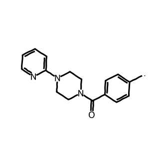 [CH2]c1ccc(C(=O)N2CCN(c3ccccn3)CC2)cc1